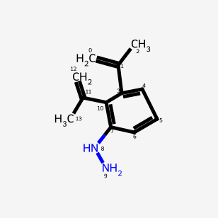 C=C(C)c1cccc(NN)c1C(=C)C